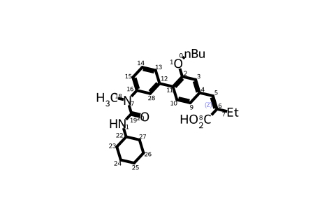 CCCCOc1cc(/C=C(/CC)C(=O)O)ccc1-c1cccc(N(C)C(=O)NC2CCCCC2)c1